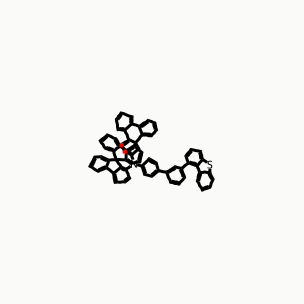 c1cc(-c2ccc(N(c3ccc4c5ccccc5c5ccccc5c4c3)c3cccc4c3C3(c5ccccc5-c5ccccc53)c3ccccc3-4)cc2)cc(-c2cccc3sc4ccccc4c23)c1